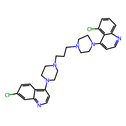 Clc1ccc2c(N3CCN(CCCN4CCN(c5ccnc6cccc(Cl)c56)CC4)CC3)ccnc2c1